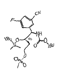 CC(C)(C)OC(=O)NC(c1cc(F)cc(C#N)c1)[C@@H](CCOS(C)(=O)=O)O[Si](C)(C)C(C)(C)C